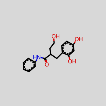 O=C(Nc1ccccc1)C(CCO)Cc1ccc(O)cc1O